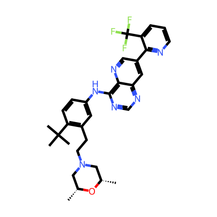 C[C@@H]1CN(CCc2cc(Nc3ncnc4cc(-c5ncccc5C(F)(F)F)cnc34)ccc2C(C)(C)C)C[C@H](C)O1